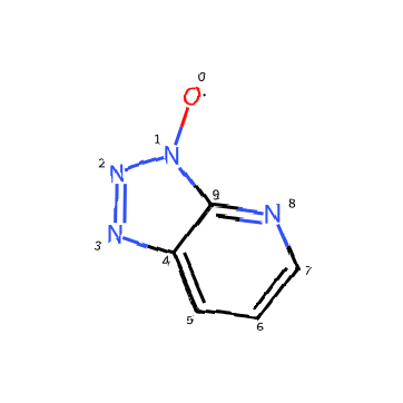 [O]n1nnc2cccnc21